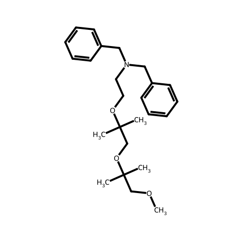 COCC(C)(C)OCC(C)(C)OCCN(Cc1ccccc1)Cc1ccccc1